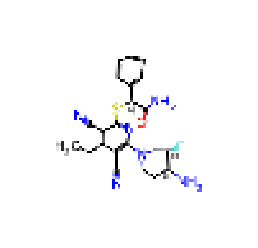 CCc1c(C#N)c(S[C@H](C(N)=O)c2ccccc2)nc(N2CC[C@H](N)[C@H](F)C2)c1C#N